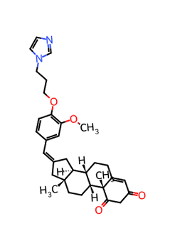 COc1cc(C=C2C[C@H]3[C@@H]4CCC5=CC(=O)CC(=O)[C@]5(C)[C@@H]4CC[C@]3(C)C2)ccc1OCCCn1ccnc1